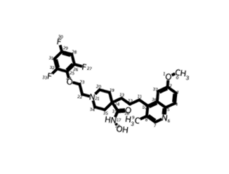 COc1ccc2ncc(C)c(CCCC3(C(=O)NO)CCN(CCOc4c(F)cc(F)cc4F)CC3)c2c1